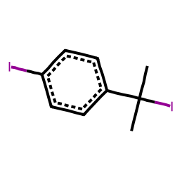 CC(C)(I)c1ccc(I)cc1